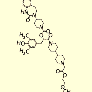 COCCOC(=O)CN1CCC(C2CCN(C(=O)[C@@H](Cc3cc(C)c(O)c(C)c3)OC(=O)N3CCC(N4CCc5ccccc5NC4=O)CC3)CC2)CC1